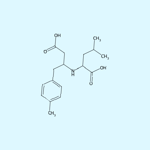 Cc1ccc(CC(CC(=O)O)NC(CC(C)C)C(=O)O)cc1